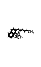 CCCCCCc1ccc2ccccc2c1S(=O)(=O)[O-].[Na+]